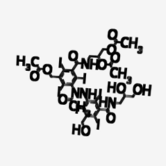 CC(=O)OCc1c(I)c(C(=O)NCC(COC(C)=O)OC(C)=O)c(I)c(N(Nc2c(I)c(CO)c(I)c(C(=O)NCC(O)CO)c2I)C(C)=O)c1I